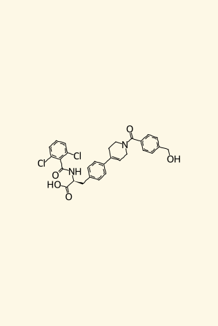 O=C(N[C@@H](Cc1ccc(C2=CCN(C(=O)c3ccc(CO)cc3)CC2)cc1)C(=O)O)c1c(Cl)cccc1Cl